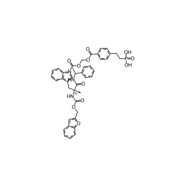 CC(NC(=O)[C@@](C)(Cc1cn(C(=O)OCOC(=O)c2ccc(CCP(=O)(O)O)cc2)c2ccccc12)NC(=O)OCc1cc2ccccc2o1)c1ccccc1